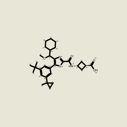 COC(c1nc(C(=O)N[C@H]2C[C@H](C(=O)O)C2)sc1-c1cc(C(C)(C)C)cc(C2(C)CC2)c1)C1CCCCC1